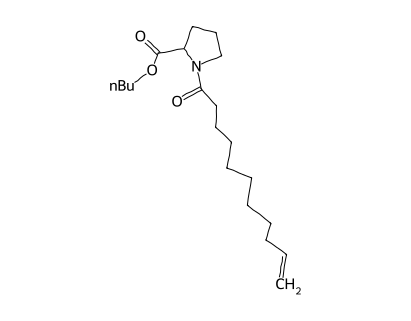 C=CCCCCCCCCC(=O)N1CCCC1C(=O)OCCCC